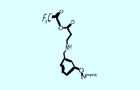 CCCCCOc1cccc(CNCCC(=O)OC(=O)C(F)(F)F)c1